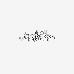 CC(C)OC(=O)Nc1ccc(-c2cnc([C@H]3CC[C@H](NC(=O)OC(C)C)CC3)s2)c(S(=O)(=O)C(C)(C)C)c1